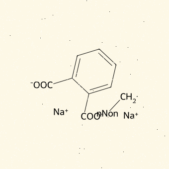 O=C([O-])c1ccccc1C(=O)[O-].[CH2]CCCCCCCCC.[Na+].[Na+]